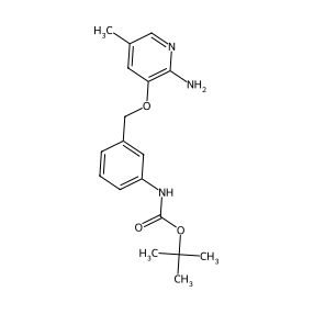 Cc1cnc(N)c(OCc2cccc(NC(=O)OC(C)(C)C)c2)c1